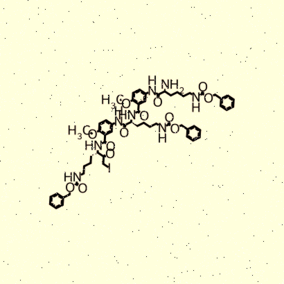 COc1ccc(NC(=O)[C@H](CCCCNC(=O)OCc2ccccc2)NC(=O)c2cc(NC(=O)[C@@H](N)CCCCNC(=O)OCc3ccccc3)ccc2OC)cc1C(=O)N[C@@H](CCCCNC(=O)OCc1ccccc1)C(=O)CI